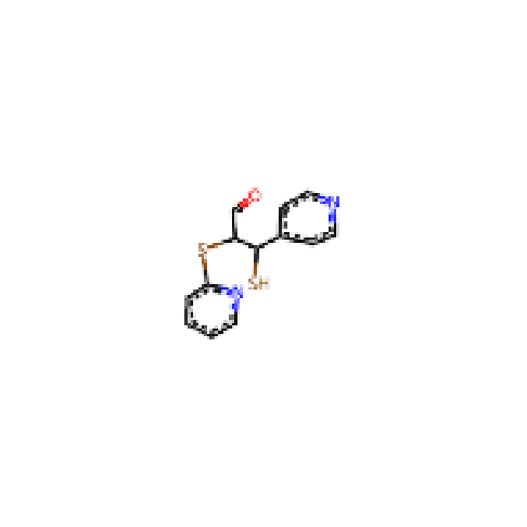 O=CC(Sc1ccccn1)C(S)c1ccncc1